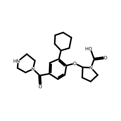 O=C(c1ccc(OC2CCCN2C(=O)O)c(C2CCCCC2)c1)N1CCNCC1